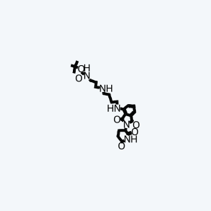 CC(C)(C)OC(=O)NCCCNCCCCNc1cccc2c1C(=O)N(C1CCC(=O)NC1=O)C2=O